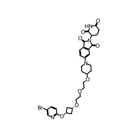 O=C1CCC(N2C(=O)c3ccc(N4CCC(OCCOCCO[C@H]5C[C@H](Oc6ccc(Br)cn6)C5)CC4)cc3C2=O)C(=O)N1